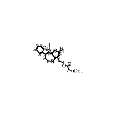 CCCCCCCCCCCC(=O)OCCC1C[C@@H]2CN3CCc4c([nH]c5ccccc45)C(C(=O)OCC)(C2)C13